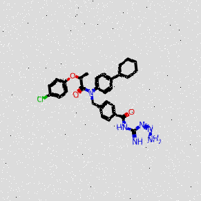 CC(Oc1ccc(Cl)cc1)C(=O)N(Cc1ccc(C(=O)NC(=N)/N=N\N)cc1)c1ccc(C2CCCCC2)cc1